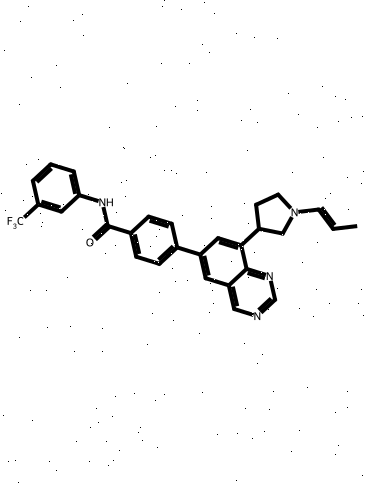 CC=CN1CCC(c2cc(-c3ccc(C(=O)Nc4cccc(C(F)(F)F)c4)cc3)cc3cncnc23)C1